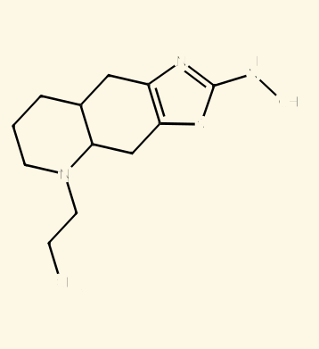 CCCN1CCCC2Cc3nc(NC)sc3CC21